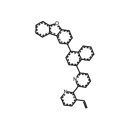 C=Cc1cccnc1-c1cccc(-c2ccc(-c3ccc4oc5ccccc5c4c3)c3ccccc23)n1